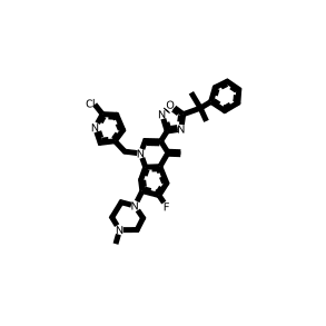 C=C1C(c2noc(C(C)(C)c3ccccc3)n2)=CN(Cc2ccc(Cl)nc2)c2cc(N3CCN(C)CC3)c(F)cc21